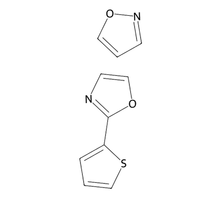 c1cnoc1.c1csc(-c2ncco2)c1